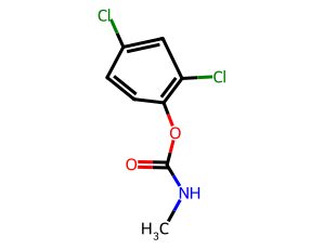 CNC(=O)Oc1ccc(Cl)cc1Cl